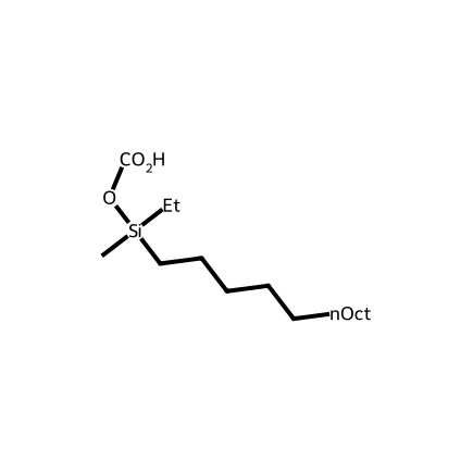 CCCCCCCCCCCCC[Si](C)(CC)OC(=O)O